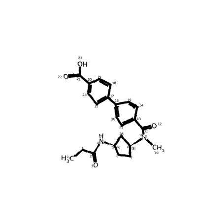 CCC(=O)N[C@@H]1CC[C@H](N(C)C(=O)c2ccc(-c3ccc(C(=O)O)cc3)cc2)C1